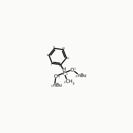 CCCCO[PH](C)(OCCCC)c1ccccc1